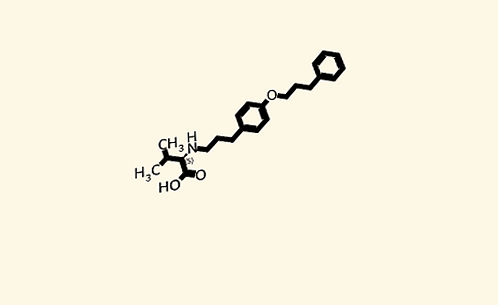 CC(C)[C@H](NCCCc1ccc(OCCCc2ccccc2)cc1)C(=O)O